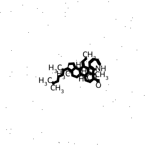 CCC=C1C[C@H]2C(C)(C3=CC=CC=CN3)C(C=O)CC[C@]2(C)[C@H]2CC[C@]3(C)[C@@H]([C@H](C)CCCC(C)C)CC[C@H]3[C@H]12